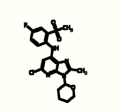 Cc1nc2c(Nc3ccc(F)cc3S(C)(=O)=O)cc(Cl)nc2n1C1CCCCO1